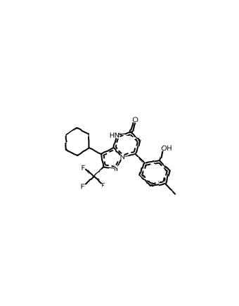 Cc1ccc(-c2cc(=O)[nH]c3c(C4CCCCC4)c(C(F)(F)F)nn23)c(O)c1